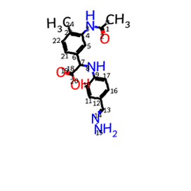 CC(=O)Nc1cc(C(Nc2ccc(C=NN)cc2)C(=O)O)ccc1C